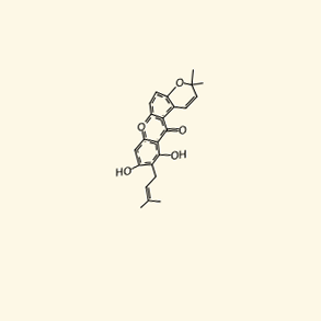 CC(C)=CCc1c(O)cc2oc3ccc4c(c3c(=O)c2c1O)C=CC(C)(C)O4